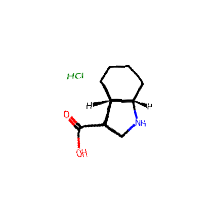 Cl.O=C(O)C1CN[C@H]2CCCC[C@@H]12